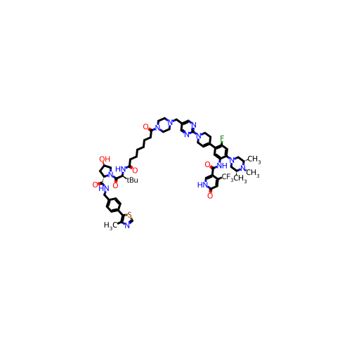 Cc1ncsc1-c1ccc(CNC(=O)[C@@H]2C[C@@H](O)CN2C(=O)[C@@H](NC(=O)CCCCCCC(=O)N2CCN(Cc3cnc(N4CC=C(c5cc(NC(=O)c6c[nH]c(=O)cc6C(F)(F)F)c(N6C[C@@H](C)N(C)[C@@H](C)C6)cc5F)CC4)nc3)CC2)C(C)(C)C)cc1